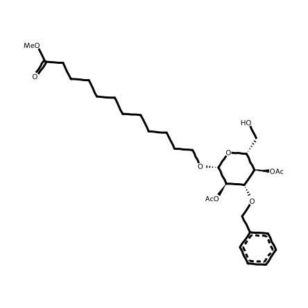 COC(=O)CCCCCCCCCCCO[C@@H]1O[C@H](CO)[C@@H](OC(C)=O)[C@H](OCc2ccccc2)[C@H]1OC(C)=O